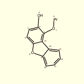 CC(C)Oc1c(O)ccc2oc3ccccc3c12